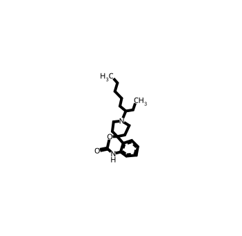 CCCCCC(CC)N1CCC2(CC1)OC(=O)Nc1ccccc12